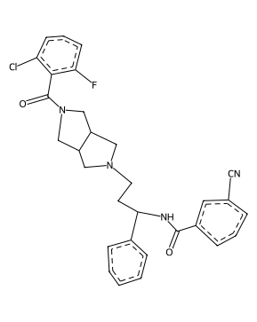 N#Cc1cccc(C(=O)NC(CCN2CC3CN(C(=O)c4c(F)cccc4Cl)CC3C2)c2ccccc2)c1